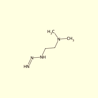 CN(C)CCNN=N